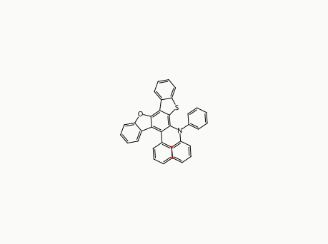 c1ccc(-c2c(N(c3ccccc3)c3ccccc3)c3sc4ccccc4c3c3oc4ccccc4c23)cc1